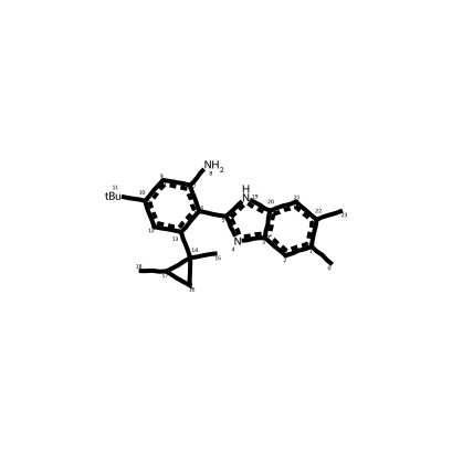 Cc1cc2nc(-c3c(N)cc(C(C)(C)C)cc3C3(C)CC3C)[nH]c2cc1C